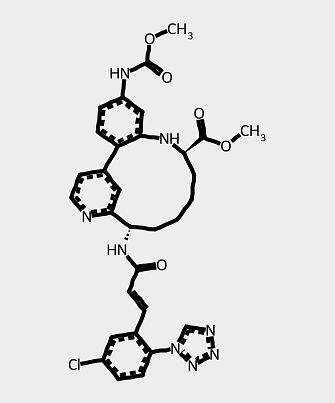 COC(=O)Nc1ccc2c(c1)N[C@@H](C(=O)OC)CCCC[C@H](NC(=O)/C=C/c1cc(Cl)ccc1-n1cnnn1)c1cc-2ccn1